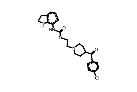 O=C(Nc1cccc2c1NCC2)OCCN1CCC(C(=O)c2ccc(Cl)cc2)CC1